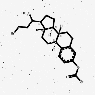 CCC(=O)Oc1ccc2c(c1)CC[C@@H]1[C@@H]2CC[C@]2(C)[C@@H](C(CCBr)C(=O)O)CC[C@@H]12